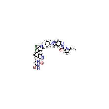 O=C1CCN(c2cncc3c(C4=CCN(C[C@H]5CC[C@H](n6cc7cc(NC(=O)c8cccc(C(F)(F)F)n8)ccc7n6)CC5)CC4(F)F)cccc23)C(=O)N1